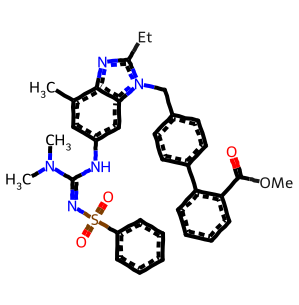 CCc1nc2c(C)cc(N/C(=N\S(=O)(=O)c3ccccc3)N(C)C)cc2n1Cc1ccc(-c2ccccc2C(=O)OC)cc1